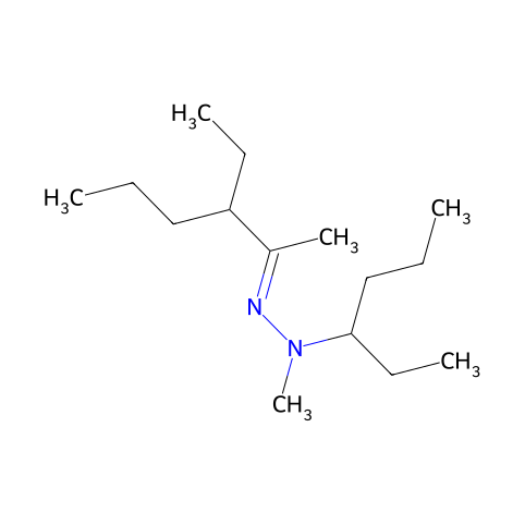 CCCC(CC)/C(C)=N/N(C)C(CC)CCC